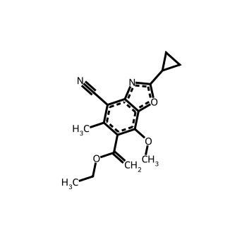 C=C(OCC)c1c(C)c(C#N)c2nc(C3CC3)oc2c1OC